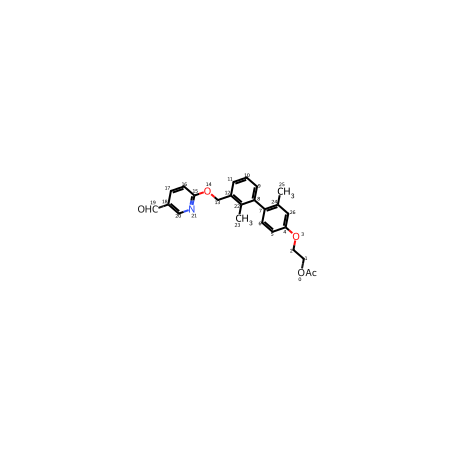 CC(=O)OCCOc1ccc(-c2cccc(COc3ccc(C=O)cn3)c2C)c(C)c1